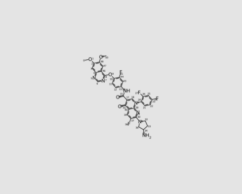 COc1cc2ncnc(Oc3ccc(NC(=O)c4cn(-c5ccc(F)cc5F)c5nc(N6CCC(N)C6)c(F)cc5c4=O)cc3F)c2cc1OC